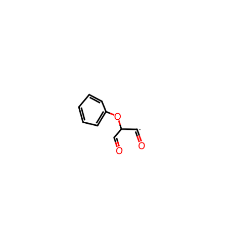 O=[C]C(C=O)Oc1ccccc1